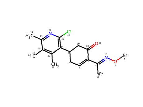 CCCC(=NOCC)C1=CCC(c2c(Cl)nc(C)c(C)c2C)CC1=O